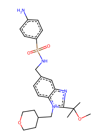 COC(C)(C)c1nc2cc(CNS(=O)(=O)c3ccc(N)cc3)ccc2n1CC1CCOCC1